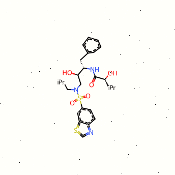 CC(C)CN(C[C@@H](O)[C@H](Cc1ccccc1)NC(=O)[C@@H](O)C(C)C)S(=O)(=O)c1ccc2ncsc2c1